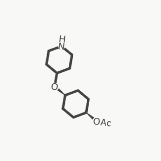 CC(=O)O[C@H]1CC[C@@H](OC2CCNCC2)CC1